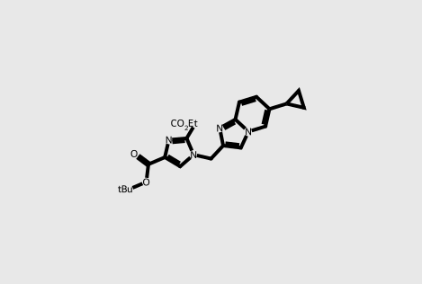 CCOC(=O)c1nc(C(=O)OC(C)(C)C)cn1Cc1cn2cc(C3CC3)ccc2n1